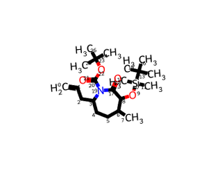 C=CCC1CCC(C)C(O[Si](C)(C)C(C)(C)C)C(=O)N1C(=O)OC(C)(C)C